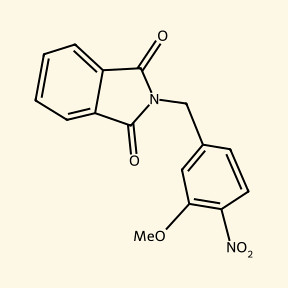 COc1cc(CN2C(=O)c3ccccc3C2=O)ccc1[N+](=O)[O-]